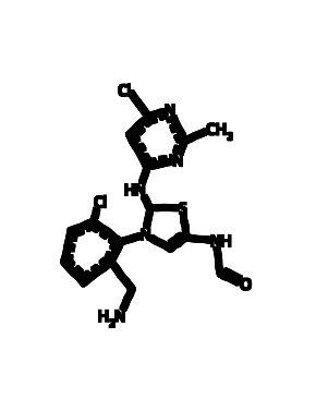 Cc1nc(Cl)cc(NC2SC(NC=O)=CN2c2c(Cl)cccc2CN)n1